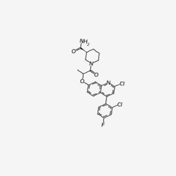 CC(Oc1ccc2c(-c3ccc(F)cc3Cl)cc(Cl)nc2c1)C(=O)N1CCC[C@H](C(N)=O)C1